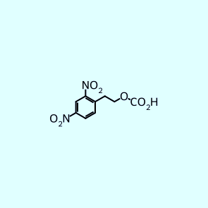 O=C(O)OCCc1ccc([N+](=O)[O-])cc1[N+](=O)[O-]